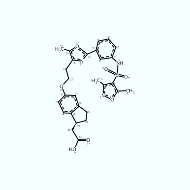 Cc1noc(C)c1S(=O)(=O)Nc1cccc(-c2nc(CCOc3ccc4c(c3)CC[C@H]4CC(=O)O)c(C)o2)c1